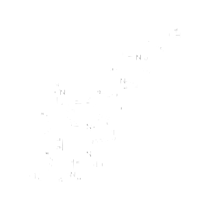 CCN1C(=O)N(c2c(F)cc(N3CCN(CCO)CC3)cc2F)c2cc(C#N)ccc2-c2cc(Cl)cnc21